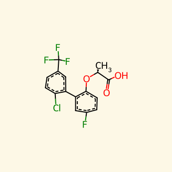 C[C@H](Oc1ccc(F)cc1-c1cc(C(F)(F)F)ccc1Cl)C(=O)O